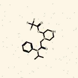 CC(C)N(C(=O)CN1CCNCC1OC(=O)C(F)(F)F)c1ccccc1